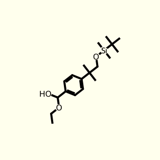 CCOC(O)c1ccc(C(C)(C)CO[Si](C)(C)C(C)(C)C)cc1